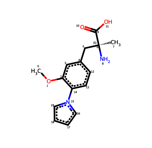 COc1cc(C[C@](C)(N)C(=O)O)ccc1-n1cccc1